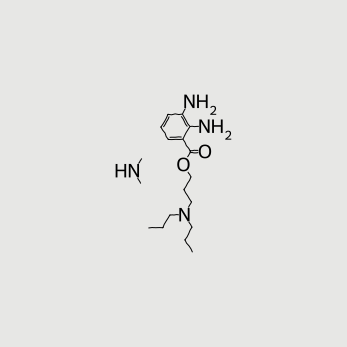 CCCN(CCC)CCCOC(=O)c1cccc(N)c1N.CNC